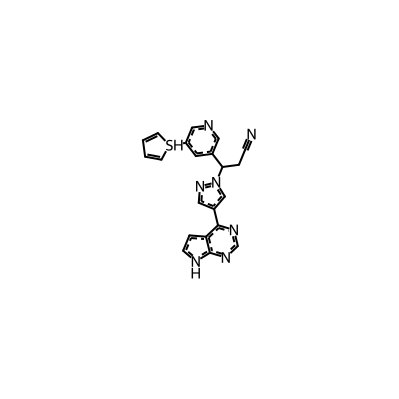 N#CCC(c1cncc([SH]2C=CC=C2)c1)n1cc(-c2ncnc3[nH]ccc23)cn1